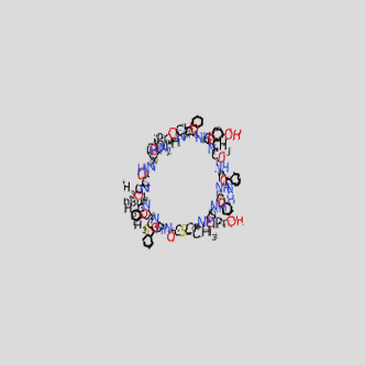 CCCC[C@H]1C(=O)N(C)CC(=O)N[C@@H](CC(=O)O)C(=O)N[C@@H](C(C)C)C(=O)N(C)[C@@H](Cc2ccccc2)C(=O)N[C@@H](Cc2ccc(O)cc2)C(=O)N(C)CC(=O)N[C@@H](Cc2c[nH]c3ccccc23)C(=O)N[C@@H](Cc2ccc(O)cc2)C(=O)N[C@@H](CC(C)C)C(=O)N[C@H](C)CSCC(=O)N[C@@H](Cc2csc3ccccc23)C(=O)N(C)[C@@H](Cc2ccccc2)C(=O)N1C